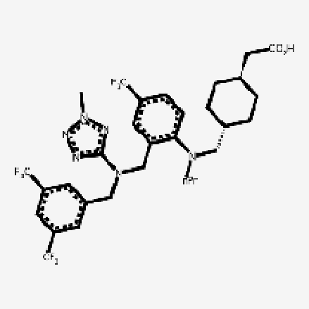 CCCN(C[C@H]1CC[C@H](CC(=O)O)CC1)c1ccc(C(F)(F)F)cc1CN(Cc1cc(C(F)(F)F)cc(C(F)(F)F)c1)c1nnn(C)n1